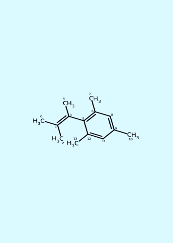 CC(C)=C(C)c1c(C)cc(C)cc1C